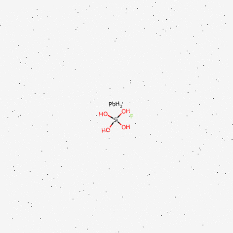 O[Si](O)(O)O.[F].[PbH2]